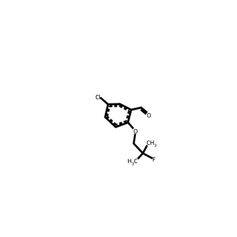 CC(C)(F)COc1ccc(Cl)cc1C=O